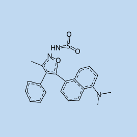 Cc1noc(-c2cccc3c(N(C)C)cccc23)c1-c1ccccc1.N=S(=O)=O